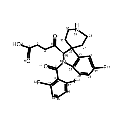 O=C(O)CCC(=O)[C@@H]1N(C(=O)c2c(F)cccc2F)c2ccc(F)cc2C12CCNCC2